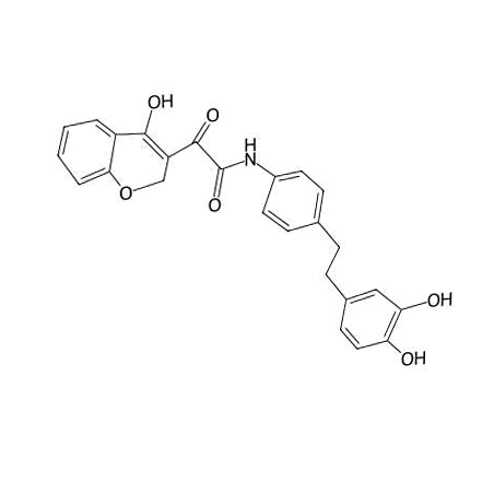 O=C(Nc1ccc(CCc2ccc(O)c(O)c2)cc1)C(=O)C1=C(O)c2ccccc2OC1